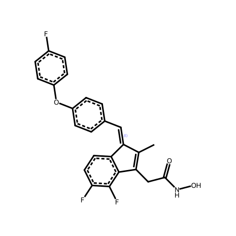 CC1=C(CC(=O)NO)c2c(ccc(F)c2F)/C1=C\c1ccc(Oc2ccc(F)cc2)cc1